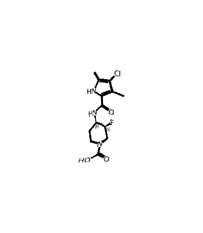 Cc1[nH]c(C(=O)N[C@@H]2CCN(C(=O)O)C[C@@H]2F)c(C)c1Cl